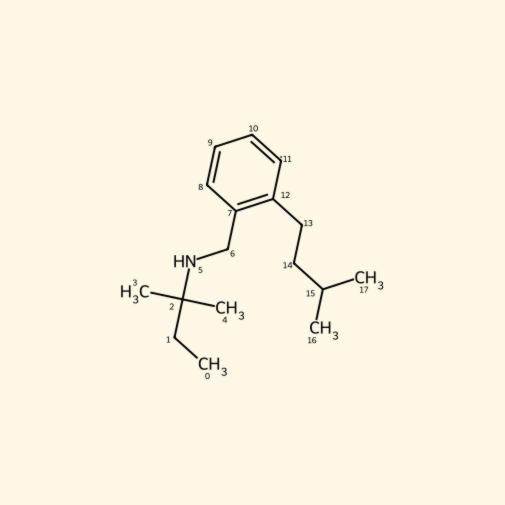 CCC(C)(C)NCc1ccc[c]c1CCC(C)C